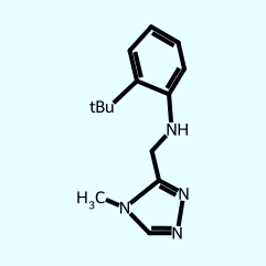 Cn1cnnc1CNc1ccccc1C(C)(C)C